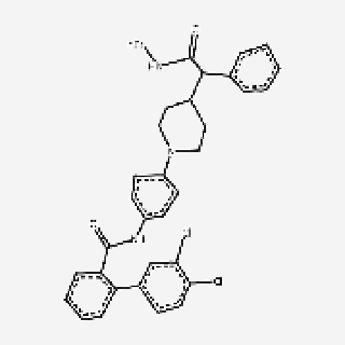 CCCNC(=O)C(c1ccccc1)C1CCN(c2ccc(NC(=O)c3ccccc3-c3ccc(Cl)c(Cl)c3)cc2)CC1